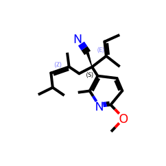 C/C=C(\C)[C@@](C#N)(C/C(C)=C\C(C)C)c1ccc(OC)nc1C